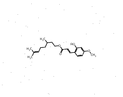 COc1ccc(C=CC(=O)OCCC(C)CCC=C(C)C)c(O)c1